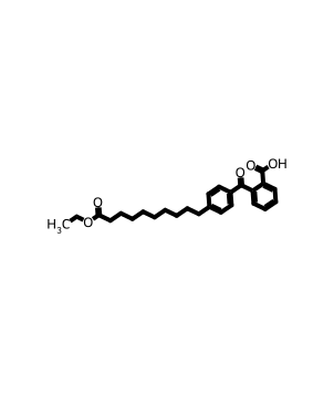 CCOC(=O)CCCCCCCCCc1ccc(C(=O)c2ccccc2C(=O)O)cc1